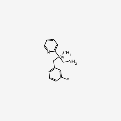 C[C@](CN)(Cc1cccc(F)c1)c1ccccn1